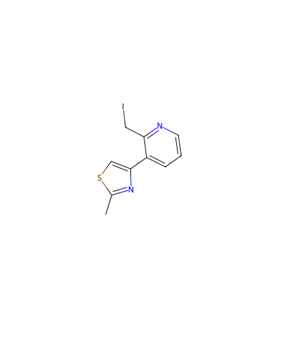 Cc1nc(-c2cccnc2CI)cs1